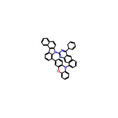 C1=CCC(c2nc(-n3c4ccc5ccccc5c4c4cccc(-c5ccc6c(c5)Oc5ccccc5N6c5ccccc5)c43)nc3ccccc23)C=C1